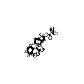 CCN(CC)C(=O)Oc1cc2c(s1)CCN([C@H](C(=O)OC)c1ccccc1Cl)C2